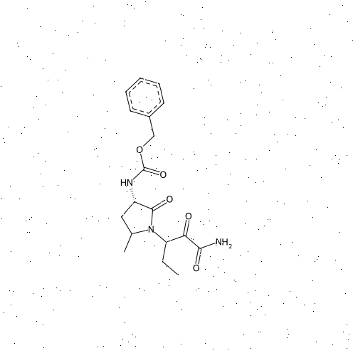 CCC(C(=O)C(N)=O)N1C(=O)[C@@H](NC(=O)OCc2ccccc2)CC1C